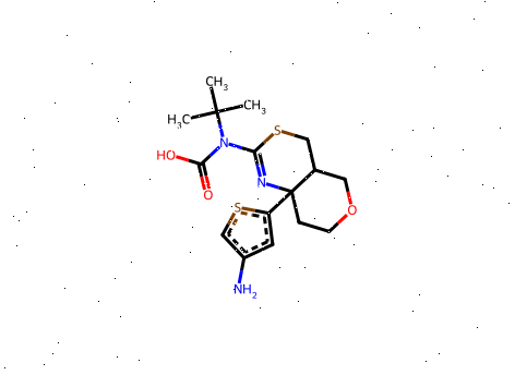 CC(C)(C)N(C(=O)O)C1=NC2(c3cc(N)cs3)CCOCC2CS1